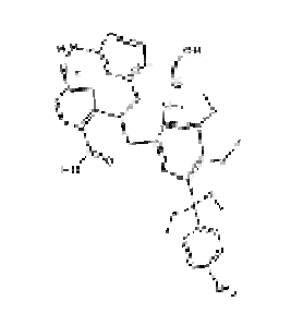 CCc1c(C(CC)(CC)c2ccc(N)cc2)cc(CC(Cc2cc(N)ccc2C(=O)O)c2cc(N)ccc2C(=O)O)c(N)c1CC